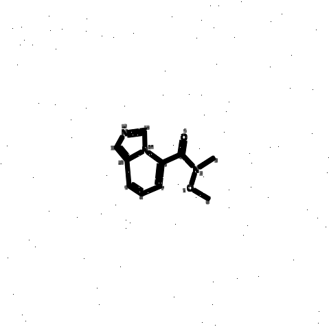 CON(C)C(=O)c1cccc2cncn12